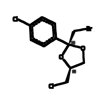 ClC[C@@H]1CO[C@](CBr)(c2ccc(Cl)cc2)O1